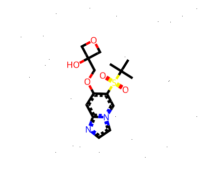 CC(C)(C)S(=O)(=O)c1cn2ccnc2cc1OCC1(O)COC1